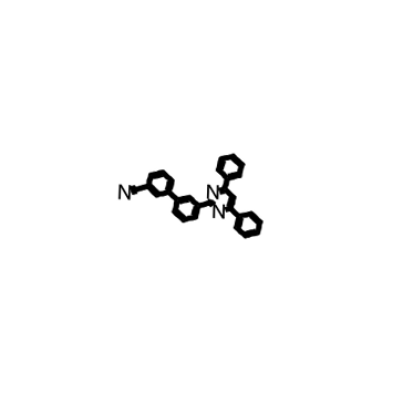 N#Cc1cccc(-c2cccc(-c3nc(-c4ccccc4)cc(-c4ccccc4)n3)c2)c1